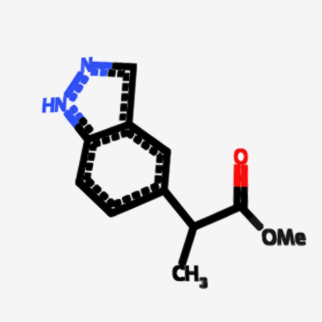 COC(=O)C(C)c1ccc2[nH]ncc2c1